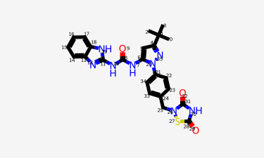 CC(C)(C)c1cc(NC(=O)Nc2nc3ccccc3[nH]2)n(-c2ccc(Cn3sc(=O)[nH]c3=O)cc2)n1